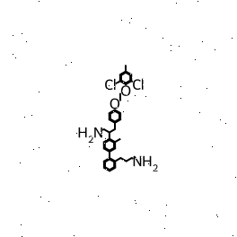 Cc1cc(Cl)c(OCCOc2ccc(CC(CN)c3ccc(-c4ccccc4CCCN)cc3C)cc2)c(Cl)c1